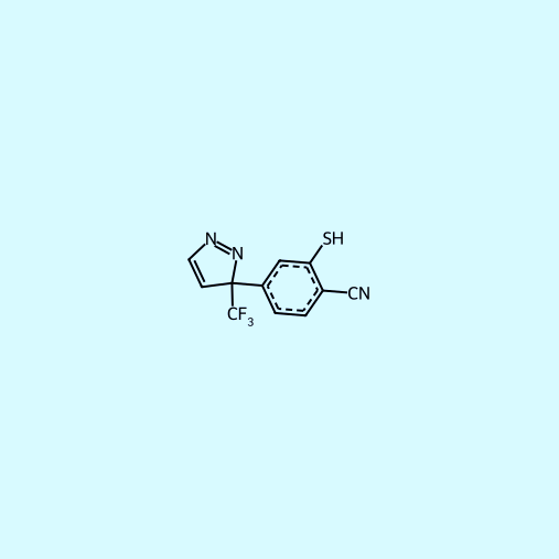 N#Cc1ccc(C2(C(F)(F)F)C=CN=N2)cc1S